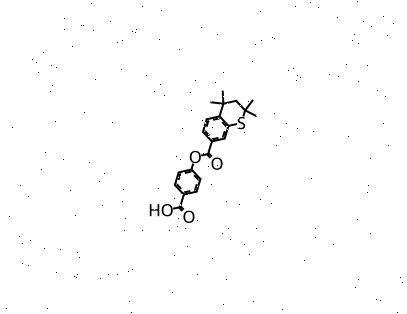 CC1(C)CC(C)(C)c2ccc(C(=O)Oc3ccc(C(=O)O)cc3)cc2S1